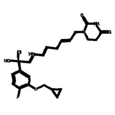 CC[C@@](O)(CNCCC/C=C/CN1CCC(=O)NC1=O)c1ccc(F)c(OCC2CC2)c1